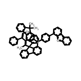 C/C=C(\C1=C(C)C2(c3ccccc31)c1ccccc1-c1cccc(N(c3ccc(-c4cccc5c4oc4ccccc45)cc3)c3ccc4c(c3)C(C)(C)c3ccccc3-4)c12)c1ccccc1